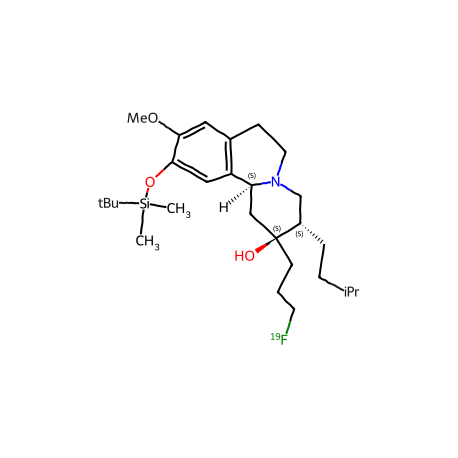 COc1cc2c(cc1O[Si](C)(C)C(C)(C)C)[C@@H]1C[C@@](O)(CCC[19F])[C@@H](CCC(C)C)CN1CC2